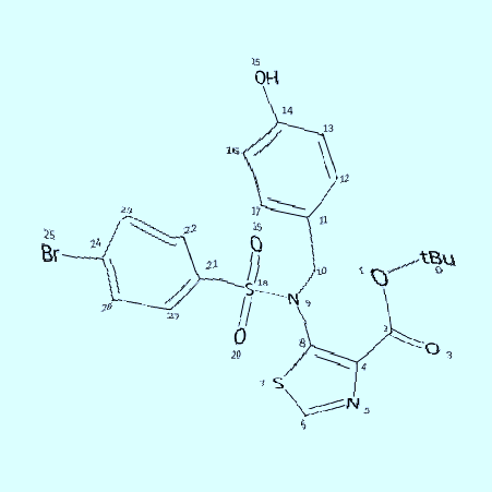 CC(C)(C)OC(=O)c1ncsc1N(Cc1ccc(O)cc1)S(=O)(=O)c1ccc(Br)cc1